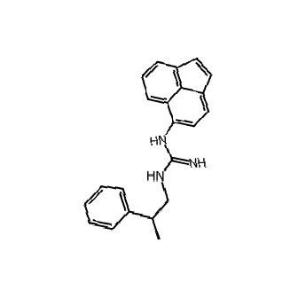 CC(CNC(=N)Nc1ccc2c3c(cccc13)C=C2)c1ccccc1